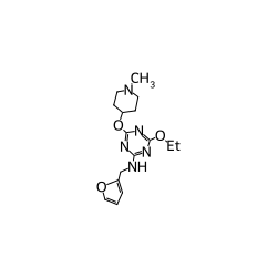 CCOc1nc(NCc2ccco2)nc(OC2CCN(C)CC2)n1